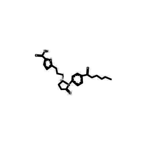 CCCCCC(=O)c1ccc(N2C(=O)CC[C@@H]2CCCc2ccc(C(=O)O)s2)cc1